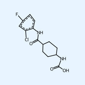 O=C(O)NC1CCC(C(=O)Nc2ccc(F)cc2Cl)CC1